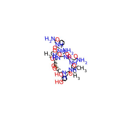 CC[C@H](C)[C@@H]1NC(=O)[C@@H](Cc2ccc(O)cc2)NC(O)CCS(=O)(=O)CC[C@@H](C(=O)N(C)CC(=O)N[C@@H](Cc2ccccc2)C(=O)NCC(N)=O)NC(=O)[C@H](CC(N)=O)NC(=O)[C@H](CCC(N)=O)NC1=O